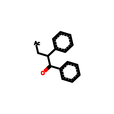 CC(=O)CC(C(=O)c1ccccc1)c1ccccc1